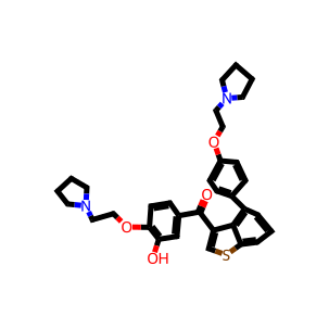 O=C(c1ccc(OCCN2CCCC2)c(O)c1)c1csc2cccc(-c3ccc(OCCN4CCCC4)cc3)c12